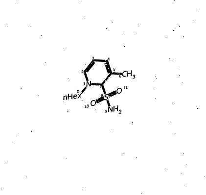 CCCCCCN1C=CC=C(C)C1S(N)(=O)=O